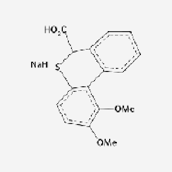 COc1ccc2c(c1OC)-c1ccccc1C(C(=O)O)S2.[NaH]